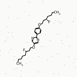 CCCCC[C@@H](F)CCOc1cnc(-c2ccc(OCC[C@H](F)CCCC)cc2)nc1